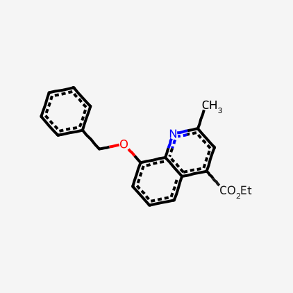 CCOC(=O)c1cc(C)nc2c(OCc3ccccc3)cccc12